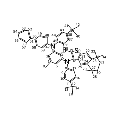 Cc1cc2c3c(c1)N(c1ccc(C(C)(C)C)cc1)c1c(sc4cc5c(cc14)C(C)(C)CCC5(C)C)B3c1cc(C(C)(C)C)ccc1N2c1ccc(-c2ccccc2C)cc1